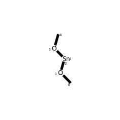 C[O][Sn][O]C